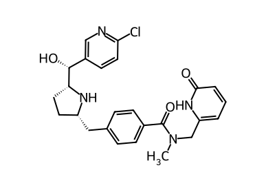 CN(Cc1cccc(=O)[nH]1)C(=O)c1ccc(C[C@@H]2CC[C@H]([C@H](O)c3ccc(Cl)nc3)N2)cc1